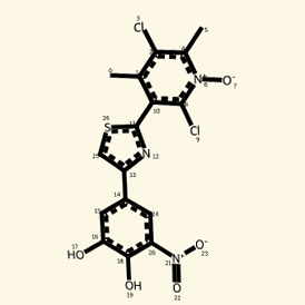 Cc1c(Cl)c(C)[n+]([O-])c(Cl)c1-c1nc(-c2cc(O)c(O)c([N+](=O)[O-])c2)cs1